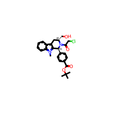 Cn1c2c(c3ccccc31)C[C@H](CO)N(C(=O)CCl)[C@H]2c1ccc(C(=O)OC(C)(C)C)cc1